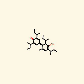 CCC(C)C1=CC(=C2C(C)=CC(C(C)CC)=C(O)C2C(C)CC)C=C(C(C)CC)C1=O